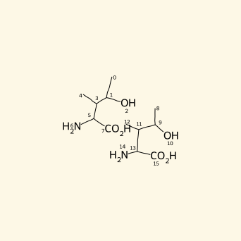 CC(O)C(C)C(N)C(=O)O.CC(O)C(C)C(N)C(=O)O